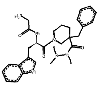 CN(C)N(C)C(=O)C1(Cc2ccccc2)CCCN(C(=O)[C@@H](Cc2c[nH]c3ccccc23)NC(=O)CN)C1